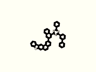 c1ccc(-c2cccc(-c3nc(-c4ccccc4)nc(-c4cc(-c5ccc6ccc7cc8oc9ccccc9c8cc7c6c5)cc5ccccc45)n3)c2)cc1